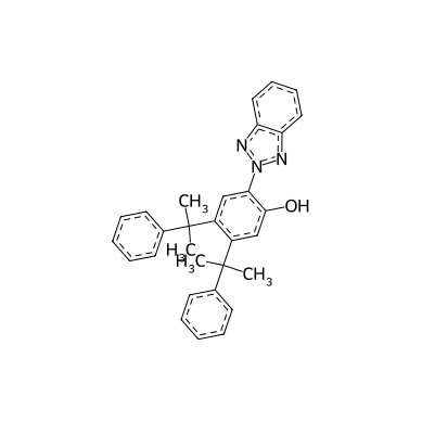 CC(C)(c1ccccc1)c1cc(O)c(-n2nc3ccccc3n2)cc1C(C)(C)c1ccccc1